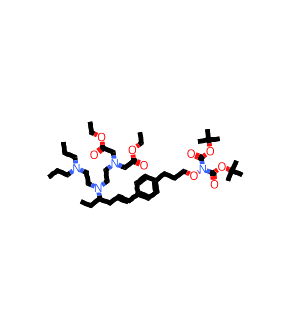 CCCN(CCC)CCN(CCN(CC(=O)OCC)CC(=O)OCC)C(CC)C/C=C/c1ccc(CCCON(C(=O)OC(C)(C)C)C(=O)OC(C)(C)C)cc1